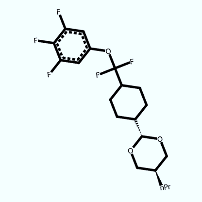 CCC[C@H]1CO[C@H](C2CCC(C(F)(F)Oc3cc(F)c(F)c(F)c3)CC2)OC1